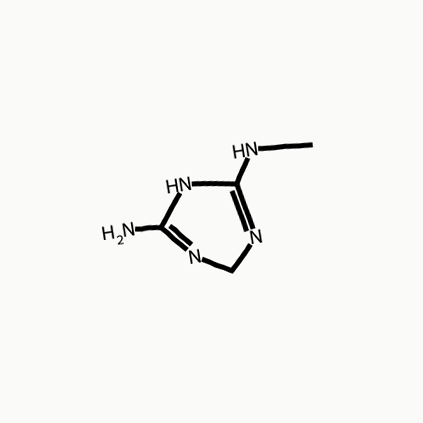 CNC1=NCN=C(N)N1